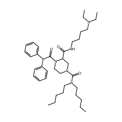 CCCCCN(CCCCC)C(=O)N1CCN(C(=O)N(c2ccccc2)c2ccccc2)C(C(=O)NCCCCN(CC)CC)C1